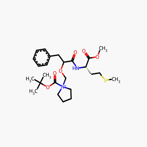 COC(=O)[C@H](CCSC)NC(=O)C(Cc1ccccc1)OC[N+]1(C(=O)OC(C)(C)C)CCCC1